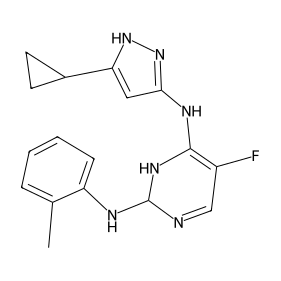 Cc1ccccc1NC1N=CC(F)=C(Nc2cc(C3CC3)[nH]n2)N1